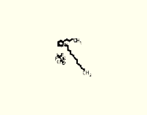 CCCCCCCCCCCC[n+]1ccccc1CCCC.O=S(=O)([O-])C(F)(F)F